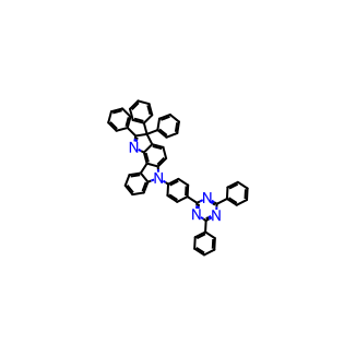 c1ccc(C2=Nc3c(ccc4c3c3ccccc3n4-c3ccc(-c4nc(-c5ccccc5)nc(-c5ccccc5)n4)cc3)C2(c2ccccc2)c2ccccc2)cc1